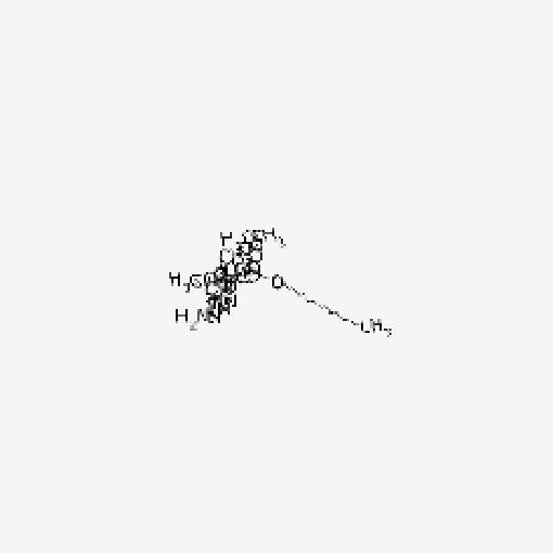 CCCCCCCCCCCCCCCCOCCCO[P@](=O)(OCOC(=O)OC(C)C)OC[C@H]1O[C@@](C#N)(c2ccc3c(N)ncnn23)[C@H](OC(=O)CC)[C@@H]1OC(=O)CC